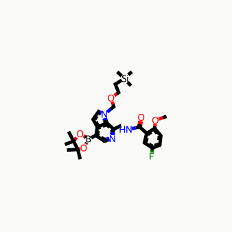 COc1ccc(F)cc1C(=O)NCc1ncc(B2OC(C)(C)C(C)(C)O2)c2ccn(COCC[Si](C)(C)C)c12